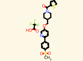 CS(=O)(=O)c1ccc(-c2ccc(OCC3CCN(C(=O)c4cccs4)CC3)cn2)cc1.O=C(O)C(F)(F)F